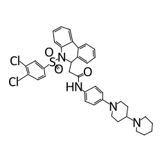 O=C(CC1c2ccccc2-c2ccccc2N1S(=O)(=O)c1ccc(Cl)c(Cl)c1)Nc1ccc(N2CCC(N3CCCCC3)CC2)cc1